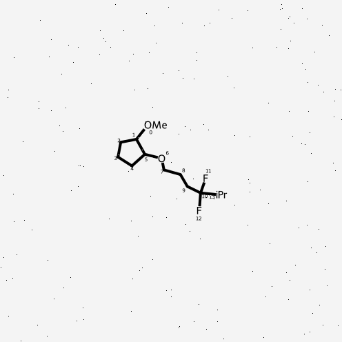 COC1CCCC1OCCCC(F)(F)C(C)C